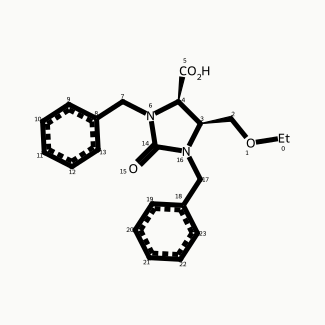 CCOC[C@@H]1[C@H](C(=O)O)N(Cc2ccccc2)C(=O)N1Cc1ccccc1